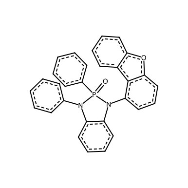 O=P1(c2ccccc2)N(c2ccccc2)c2ccccc2N1c1cccc2oc3ccccc3c12